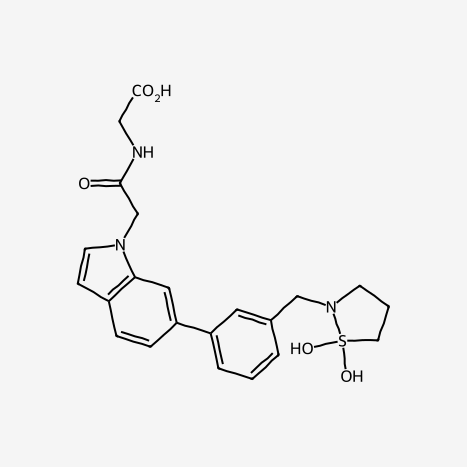 O=C(O)CNC(=O)Cn1ccc2ccc(-c3cccc(CN4CCCS4(O)O)c3)cc21